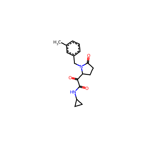 Cc1cccc(CN2C(=O)CCC2C(=O)C(=O)NC2CC2)c1